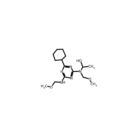 COCNc1nc(C2CCCCC2)nc(N(COC)C(C)O)n1